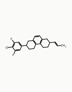 CC=CC1CCc2c(ccc3c2CCC(c2cc(F)c(Cl)c(F)c2)C3)C1